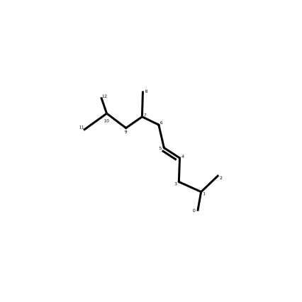 CC(C)CC=CCC(C)CC(C)C